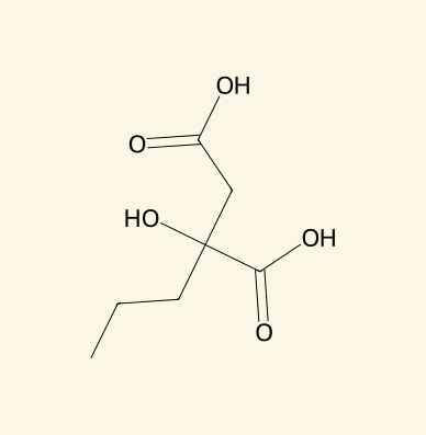 CCCC(O)(CC(=O)O)C(=O)O